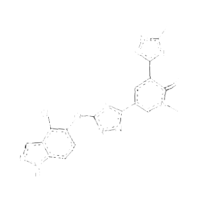 Cc1nsc(-c2cc(-c3nnc(Nc4ccc5[nH]ncc5c4Cl)s3)cn(C)c2=O)n1